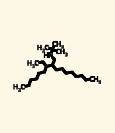 CCCCCCCCC(CNC(C)(C)C)C(CC)CCCCCC